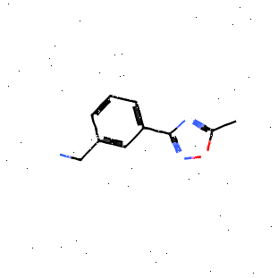 Cc1nc(-c2cccc(CN)c2)no1.Cl